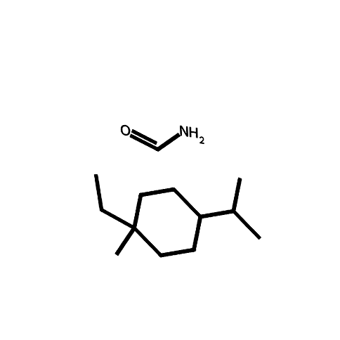 CCC1(C)CCC(C(C)C)CC1.NC=O